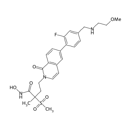 COCCNCc1ccc(-c2ccc3c(=O)n(CCC(C)(C(=O)NO)S(C)(=O)=O)ccc3c2)c(F)c1